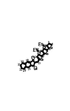 CCn1c2ccsc2c2sc3c4sc(C=C5C(=O)c6cc7ccccc7cc6C5=O)cc4n(CC)c3c21